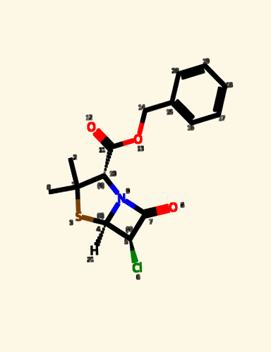 CC1(C)S[C@@H]2[C@H](Cl)C(=O)N2[C@H]1C(=O)OCc1ccccc1